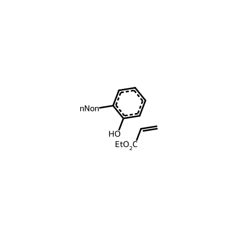 C=CC(=O)OCC.CCCCCCCCCc1ccccc1O